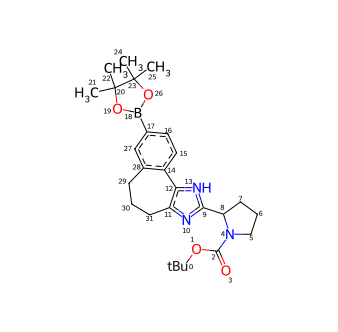 CC(C)(C)OC(=O)N1CCCC1c1nc2c([nH]1)-c1ccc(B3OC(C)(C)C(C)(C)O3)cc1CCC2